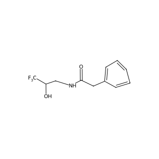 O=C(Cc1ccccc1)NCC(O)C(F)(F)F